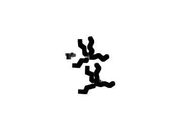 CCC[CH2][Ti-2]([CH2]CCC)([CH2]CCC)[CH2]CCC.CCC[CH2][Ti-2]([CH2]CCC)([CH2]CCC)[CH2]CCC.[Ti+4]